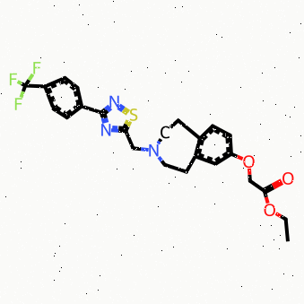 CCOC(=O)COc1ccc2c(c1)CCN(Cc1nc(-c3ccc(C(F)(F)F)cc3)ns1)CC2